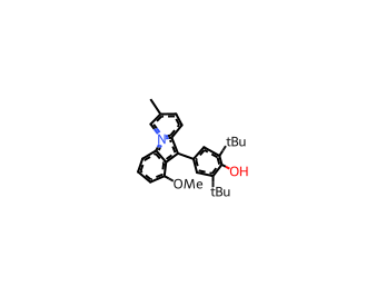 COc1cccc2c1c(-c1cc(C(C)(C)C)c(O)c(C(C)(C)C)c1)c1ccc(C)cn12